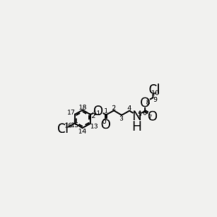 O=C(CCCNC(=O)OCCl)Oc1ccc(Cl)cc1